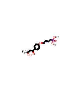 CCOP(=O)(C/C=C/COc1ccc(C(=O)/C=C(\O)C(F)(F)F)cc1)OCC